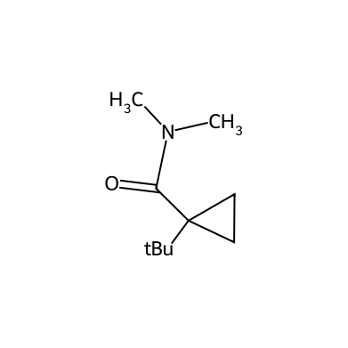 CN(C)C(=O)C1(C(C)(C)C)CC1